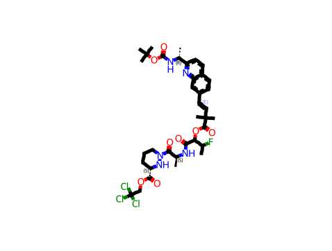 CC(F)C(OC(=O)C(C)(C)/C=C/c1ccc2ccc([C@@H](C)NC(=O)OC(C)(C)C)nc2c1)C(=O)N[C@@H](C)C(=O)N1CCC[C@@H](C(=O)OCC(Cl)(Cl)Cl)N1